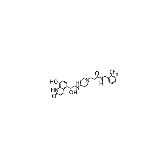 O=C(CCN1CCC(NC[C@H](O)c2ccc(O)c3[nH]c(=O)ccc23)CC1)NCc1ccccc1C(F)(F)F